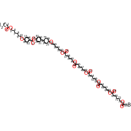 C=CC(=O)OCCCCCCOc1ccc(C(=O)Oc2ccc(C3CCC(OCCCCCCOC(=O)CCCCCOC(=O)CCCCCOC(=O)CCCCCOC(=O)CCCCCOC(=O)CCCCCOC(=O)CCCC)CC3)cc2)cc1